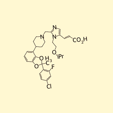 CC(C)OCCn1c(/C=C/C(=O)O)cnc1CN1CCC(c2cccc3c2OC(C)(c2ccc(Cl)cc2F)O3)CC1